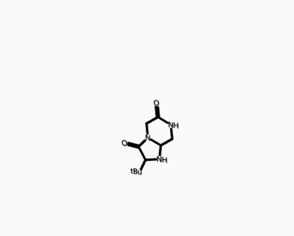 CC(C)(C)C1NC2CNC(=O)CN2C1=O